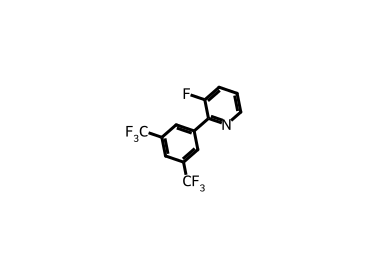 Fc1cccnc1-c1cc(C(F)(F)F)cc(C(F)(F)F)c1